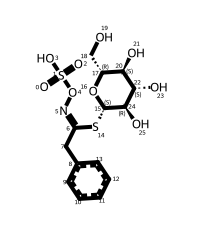 O=S(=O)(O)ON=C(Cc1ccccc1)S[C@@H]1O[C@H](CO)[C@@H](O)[C@H](O)[C@H]1O